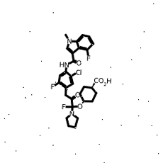 Cn1cc(C(=O)Nc2cc(F)c(CC(=O)C(F)(O[C@H]3CC[C@H](C(=O)O)CC3)N3CCCC3)cc2Cl)c2c(F)cccc21